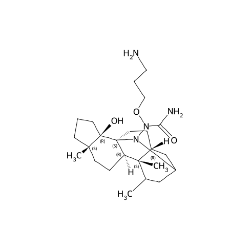 CC1CC2C[C@H]3CC[C@@]4([C@H](CC[C@]5(C)CCC[C@@]54O)[C@@]13C)N2N(OCCCN)C(N)=O